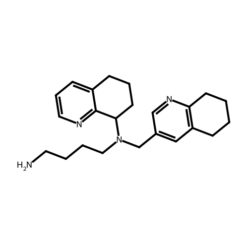 NCCCCN(Cc1cnc2c(c1)CCCC2)C1CCCc2cccnc21